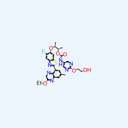 CCOc1cnc2c(-c3nc4cc(F)c(O[C@@H](C)[C@@H](C)OC(=O)Nc5cnc(OCCO)nc5)cc4s3)cc(C)cc2n1